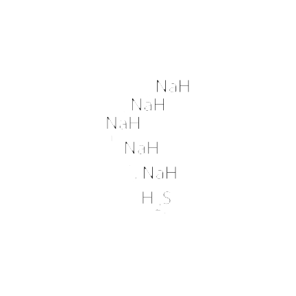 S.[NaH].[NaH].[NaH].[NaH].[NaH]